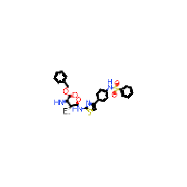 CCC(C(=N)C(=O)OCc1ccccc1)C(=O)Nc1nc(-c2ccc(NS(=O)(=O)c3ccccc3)cc2)cs1